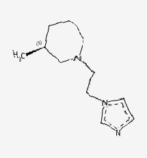 C[C@H]1CCCN(CCn2ccnc2)C1